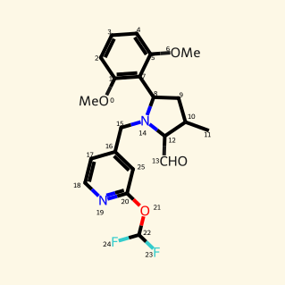 COc1cccc(OC)c1C1CC(C)C(C=O)N1Cc1ccnc(OC(F)F)c1